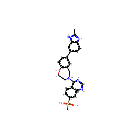 Cc1nc2ccc(-c3ccc4c(c3)CN(c3ncnc5cc(S(C)(=O)=O)ccc35)CCO4)cc2[nH]1